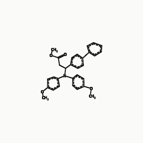 COC(=O)CC(c1ccc(-c2ccccc2)cc1)N(c1ccc(OC)cc1)c1ccc(OC)cc1